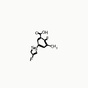 Cc1cc(-n2cc(F)cn2)cc(C(=O)O)c1F